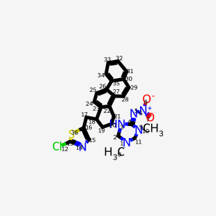 CN1CNC(=N[N+](=O)[O-])N(C)C1.Clc1ncc(CC2CCCc3c2ccc2c3ccc3ccccc32)s1